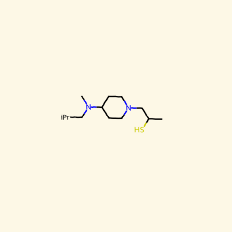 CC(C)CN(C)C1CCN(CC(C)S)CC1